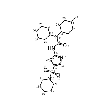 CC1CCC(N(C(=O)Nc2ncc(S(=O)(=O)N3CCCCC3)s2)C2CCCCC2)CC1